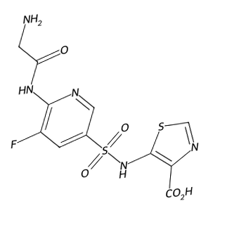 NCC(=O)Nc1ncc(S(=O)(=O)Nc2scnc2C(=O)O)cc1F